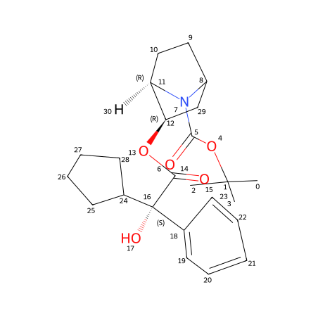 CC(C)(C)OC(=O)N1C2CC[C@@H]1[C@H](OC(=O)[C@@](O)(c1ccccc1)C1CCCC1)C2